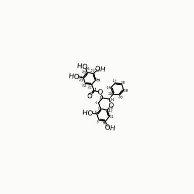 O=C(OC1Cc2c(O)cc(O)cc2O[C@@H]1c1ccccc1)c1cc(O)c(O)c(O)c1